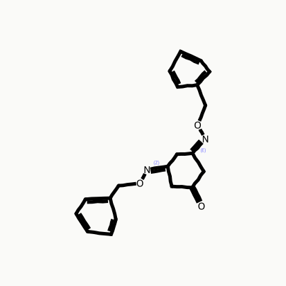 O=C1C/C(=N\OCc2ccccc2)C/C(=N\OCc2ccccc2)C1